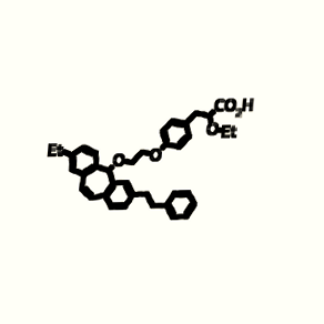 CCOC(Cc1ccc(OCCOC2c3ccc(CC)cc3C=Cc3ccc(CCc4ccccc4)cc32)cc1)C(=O)O